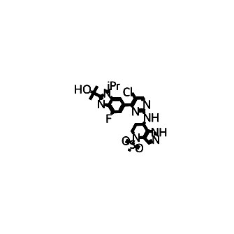 CC(C)n1c(C(C)(C)O)nc2c(F)cc(-c3nc(NC4CCN(S(C)(=O)=O)c5cn[nH]c54)ncc3Cl)cc21